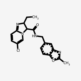 CCC1N=C2C=CC(Cl)=CN2C1C(=O)NCc1ccc2oc(C)nc2c1